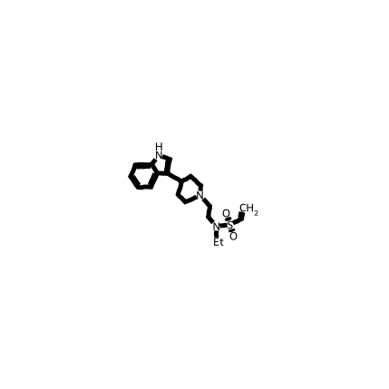 C=CS(=O)(=O)N(CC)CCN1CCC(c2c[nH]c3ccccc23)CC1